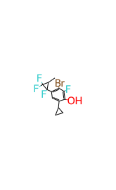 CC1C(F)(F)C1(F)c1cc(C2CC2)c(O)c(F)c1Br